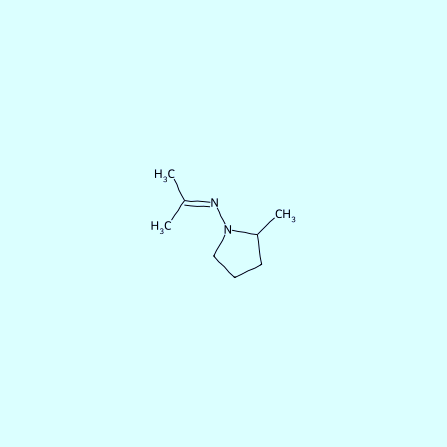 CC(C)=NN1CCCC1C